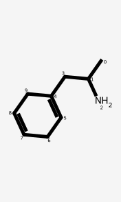 CC(N)CC1=CCC=CC1